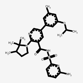 Cc1cc(OC(C)C)cc(-c2cnc(N3CCC(C)C3(C)C)c(C(=O)NS(=O)(=O)c3cccc(N)n3)c2)c1